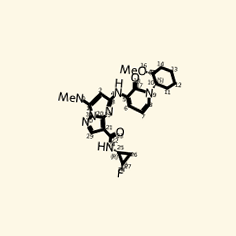 CNc1cc(Nc2cccn([C@H]3CCCC[C@H]3OC)c2=O)nc2c(C(=O)N[C@@H]3C[C@@H]3F)cnn12